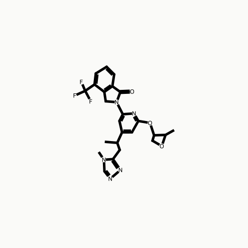 CC(Cc1nncn1C)c1cc(OC2COC2C)nc(N2Cc3c(cccc3C(F)(F)F)C2=O)c1